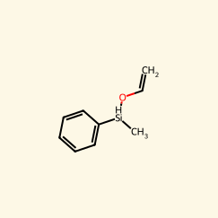 C=CO[SiH](C)c1ccccc1